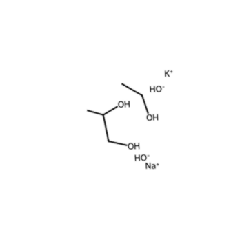 CC(O)CO.CCO.[K+].[Na+].[OH-].[OH-]